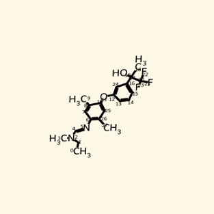 CCN(C)C=Nc1cc(C)c(Oc2cccc(C(C)(O)C(F)(F)F)c2)cc1C